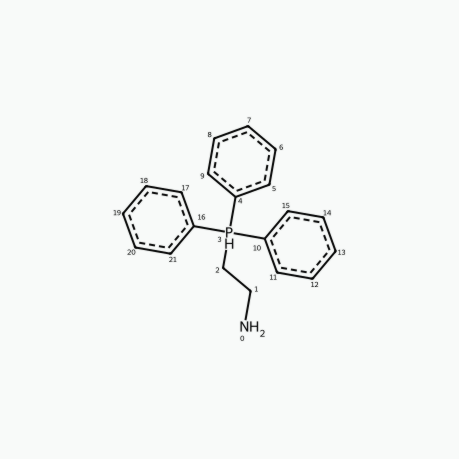 NCC[PH](c1ccccc1)(c1ccccc1)c1ccccc1